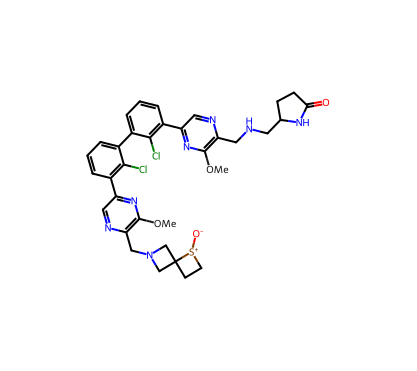 COc1nc(-c2cccc(-c3cccc(-c4cnc(CN5CC6(CC[S+]6[O-])C5)c(OC)n4)c3Cl)c2Cl)cnc1CNCC1CCC(=O)N1